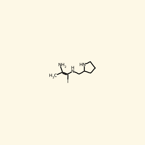 C/C(N)=C(\I)NCC1CCCN1